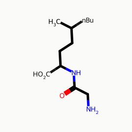 CCCCC(C)CCC(NC(=O)CN)C(=O)O